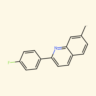 [CH2]c1ccc2ccc(-c3ccc(F)cc3)nc2c1